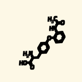 CC(=O)Nc1ccccc1Oc1ccc(CC(N)C(=O)O)cc1